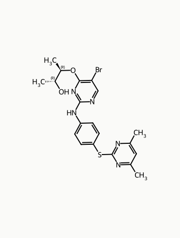 Cc1cc(C)nc(Sc2ccc(Nc3ncc(Br)c(O[C@H](C)[C@@H](C)O)n3)cc2)n1